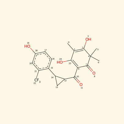 CC1=C(O)C(C)(C)C(=O)C(C(=O)C2CC2c2ccc(O)cc2C(F)(F)F)=C1O